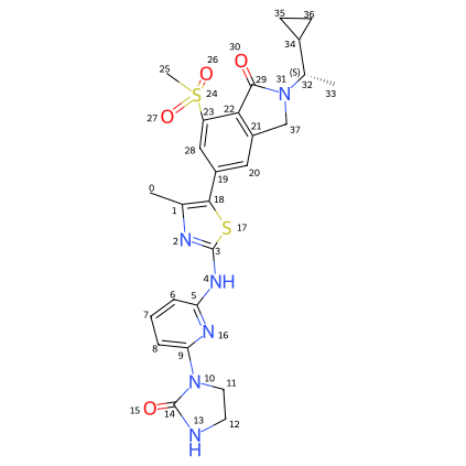 Cc1nc(Nc2cccc(N3CCNC3=O)n2)sc1-c1cc2c(c(S(C)(=O)=O)c1)C(=O)N([C@@H](C)C1CC1)C2